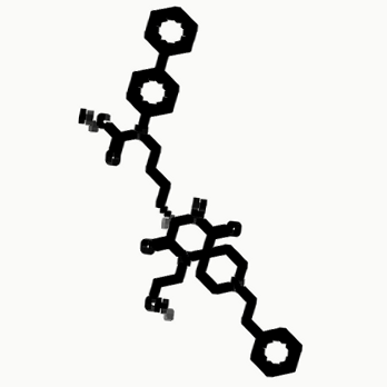 CCCN1C(=O)[C@H](CCCCN(C(C)=O)c2ccc(-c3ccccc3)cc2)NC(=O)C12CCN(CCc1ccccc1)CC2